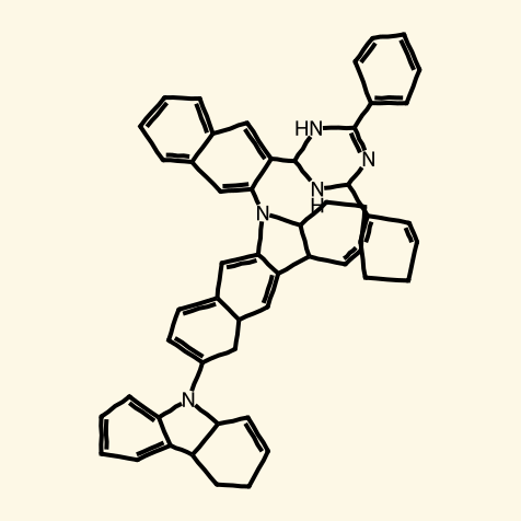 C1=CC(C2N=C(c3ccccc3)NC(c3cc4ccccc4cc3N3C4=CC5=CC=C(N6c7ccccc7C7CCC=CC76)CC5C=C4C4C=CCCC43)N2)=CCC1